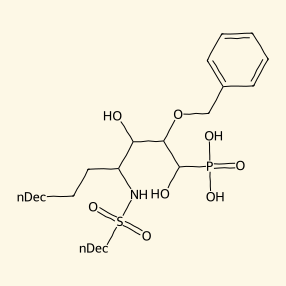 CCCCCCCCCCCCC(NS(=O)(=O)CCCCCCCCCC)C(O)C(OCc1ccccc1)C(O)P(=O)(O)O